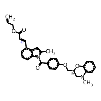 C=CCOC(=O)/C=C/c1cccc2c1cc(C)n2C(=O)c1ccc(OC[C@@H]2CN(C)c3ccccc3O2)cc1